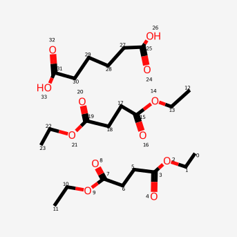 CCOC(=O)CCC(=O)OCC.CCOC(=O)CCC(=O)OCC.O=C(O)CCCCC(=O)O